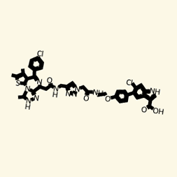 CC1=C(C)C2C(c3ccc(Cl)cc3)=NC(CC(=O)NCc3cn(CC(=O)NCCOc4ccc(-c5cc6c(C(=O)O)c[nH]c6cc5Cl)cc4)nn3)C3=NNC(C)N3C2S1